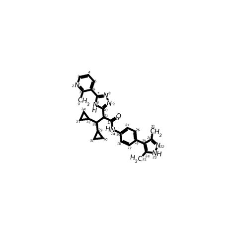 Cc1ncccc1-c1nnc(C(C(=O)Nc2ccc(-c3c(C)n[nH]c3C)cc2)C(C2CC2)C2CC2)[nH]1